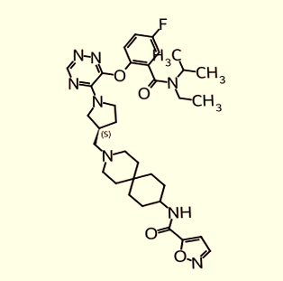 CCN(C(=O)c1cc(F)ccc1Oc1nncnc1N1CC[C@@H](CN2CCC3(CCC(NC(=O)c4ccno4)CC3)CC2)C1)C(C)C